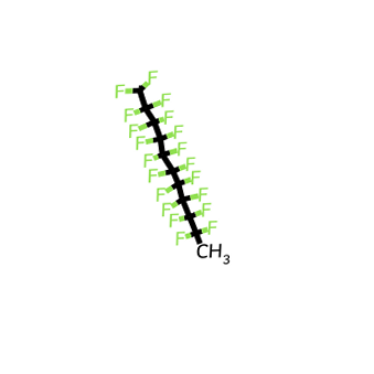 CC(F)(F)C(F)(F)C(F)(F)C(F)(F)C(F)(F)C(F)(F)C(F)(F)C(F)(F)C(F)(F)[C](F)F